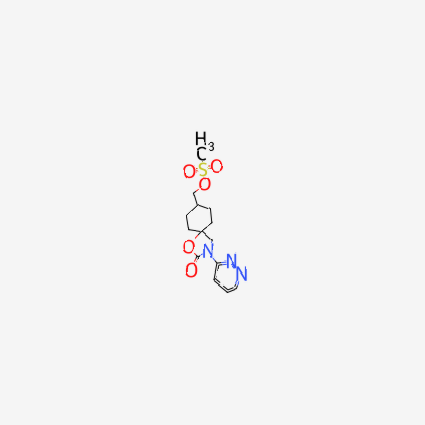 CS(=O)(=O)OCC1CCC2(CC1)CN(c1cccnn1)C(=O)O2